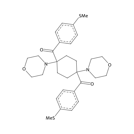 CSc1ccc(C(=O)C2(N3CCOCC3)CCC(C(=O)c3ccc(SC)cc3)(N3CCOCC3)CC2)cc1